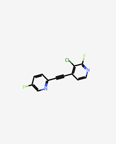 Fc1ccc(C#Cc2ccnc(F)c2Cl)nc1